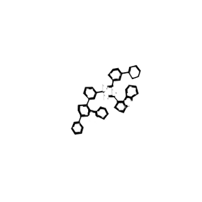 C1=CCCC(c2cccc(-c3nc(-c4cccc(-c5ccc(-c6ccccc6)c6oc7ccccc7c56)c4)nc(-c4cccc5oc6ccccc6c45)n3)c2)=C1